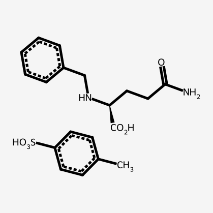 Cc1ccc(S(=O)(=O)O)cc1.NC(=O)CC[C@H](NCc1ccccc1)C(=O)O